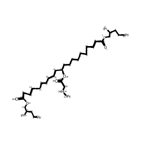 CC(C)CCC(COC(=O)CCCCCCCCCC(CCCCCCCCCC(=O)OCC(CCC(C)C)C(C)C)OC(=O)CNC(C)C)C(C)C